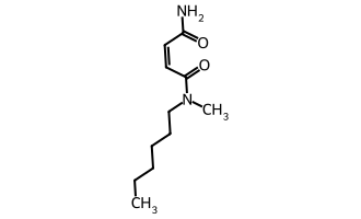 CCCCCCN(C)C(=O)/C=C\C(N)=O